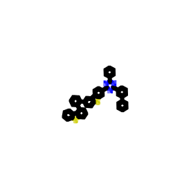 c1ccc(-c2cccc(-c3nc(-c4ccccc4)nc(-c4ccc5c(c4)sc4ccc(-c6ccccc6-c6cccc7sc8ccccc8c67)cc45)n3)c2)cc1